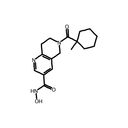 CC1(C(=O)N2CCc3ncc(C(=O)NO)cc3C2)CCCCC1